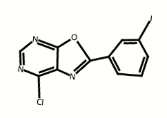 Clc1ncnc2oc(-c3cccc(I)c3)nc12